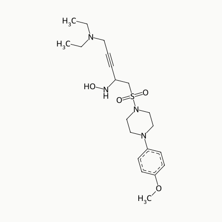 CCN(CC)CC#CC(CS(=O)(=O)N1CCN(c2ccc(OC)cc2)CC1)NO